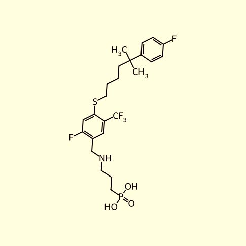 CC(C)(CCCCSc1cc(F)c(CNCCCP(=O)(O)O)cc1C(F)(F)F)c1ccc(F)cc1